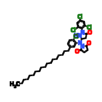 CCCCCCCCCCCCCCCCCCc1ccc(Cl)c(N(C2CC(=O)N(c3c(Cl)cc(Cl)cc3Cl)N2)N2C(=O)CCC2=O)c1